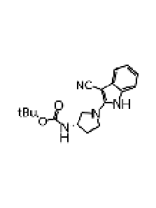 CC(C)(C)OC(=O)N[C@H]1CCN(c2[nH]c3ccccc3c2C#N)C1